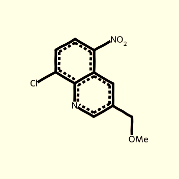 COCc1cnc2c(Cl)ccc([N+](=O)[O-])c2c1